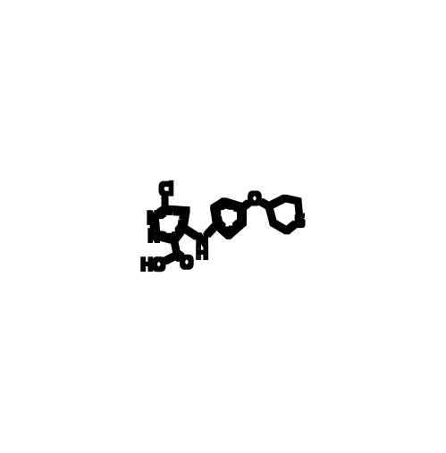 O=C(O)c1nnc(Cl)cc1Nc1ccc(OC2CCSCC2)cc1